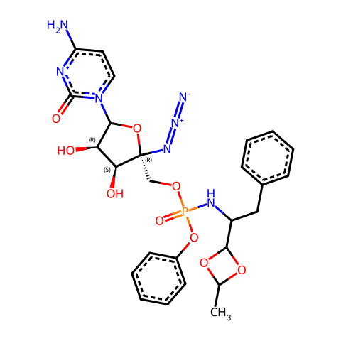 CC1OC(C(Cc2ccccc2)NP(=O)(OC[C@@]2(N=[N+]=[N-])OC(n3ccc(N)nc3=O)[C@H](O)[C@@H]2O)Oc2ccccc2)O1